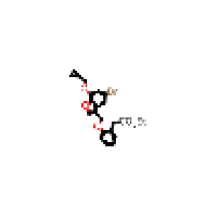 CCOC(=O)Cc1ccccc1OCc1coc2c(OCC3CC3)cc(Br)cc12